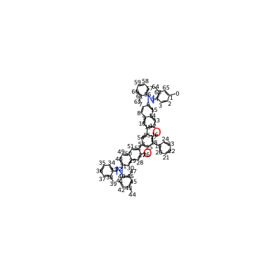 Cc1ccc(N(c2ccc3cc4c(cc3c2)oc2c(-c3ccccc3)c3oc5cc6cc(N(c7ccccc7C)c7ccc(C)cc7C)ccc6cc5c3cc24)c2ccccc2C)c(C)c1